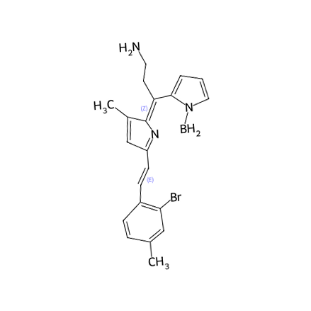 Bn1cccc1/C(CCN)=C1N=C(/C=C/c2ccc(C)cc2Br)C=C\1C